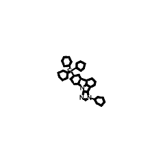 c1ccc(-n2cnc3c2c2cccc4c5cc([Si](c6ccccc6)(c6ccccc6)c6ccccc6)ccc5n3c42)cc1